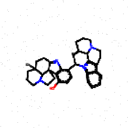 CCC12CCCN3CCc4c(n(c5ccccc45)C(c4ccc(O)c5c4N=C4CCC6(CC)CCCN7CCC45C76)C1)C32